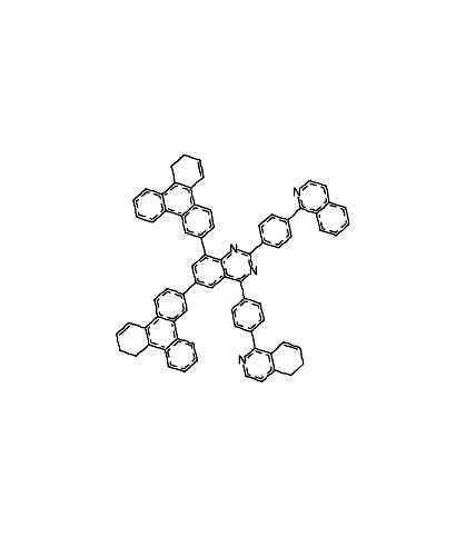 C1=Cc2c(ccnc2-c2ccc(-c3nc(-c4ccc(-c5nccc6ccccc56)cc4)nc4c(-c5ccc6c7c(c8ccccc8c6c5)CCC=C7)cc(-c5ccc6c7c(c8ccccc8c6c5)CCC=C7)cc34)cc2)CC1